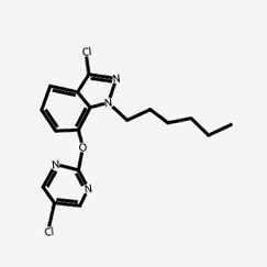 CCCCCCn1nc(Cl)c2cccc(Oc3ncc(Cl)cn3)c21